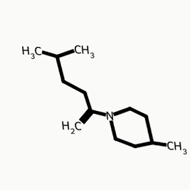 C=C(CCC(C)C)N1CCC(C)CC1